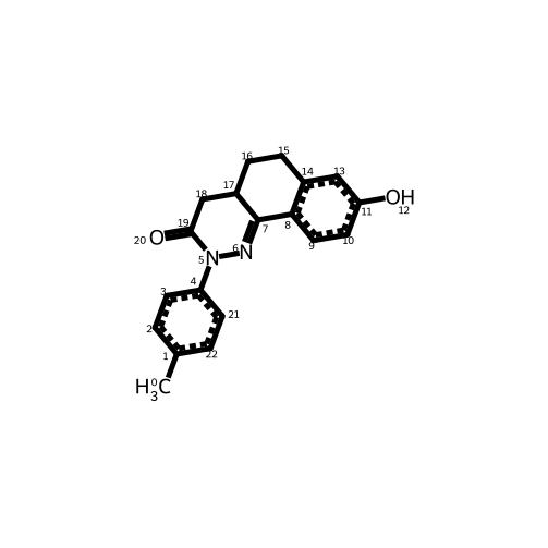 Cc1ccc(N2N=C3c4ccc(O)cc4CCC3CC2=O)cc1